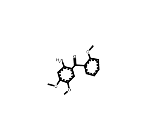 COc1cc(N)c(C(=O)c2ccccc2OC)cc1OC